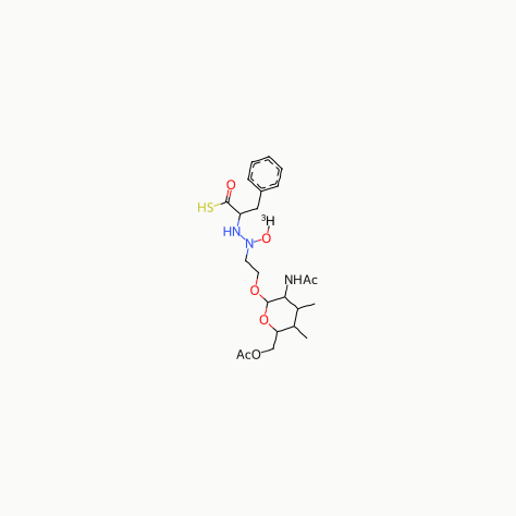 [3H]ON(CCOC1OC(COC(C)=O)C(C)C(C)C1NC(C)=O)NC(Cc1ccccc1)C(=O)S